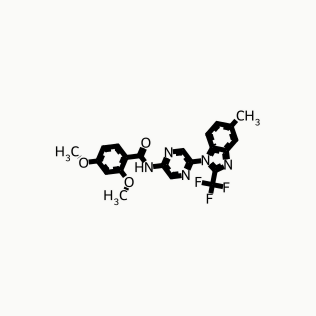 COc1ccc(C(=O)Nc2cnc(-n3c(C(F)(F)F)nc4cc(C)ccc43)cn2)c(OC)c1